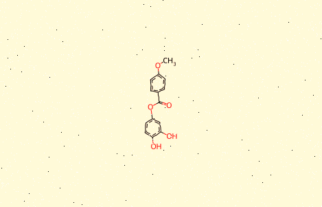 COc1ccc(C(=O)Oc2ccc(O)c(O)c2)cc1